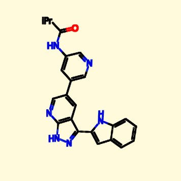 CC(C)C(=O)Nc1cncc(-c2cnc3[nH]nc(-c4cc5ccccc5[nH]4)c3c2)c1